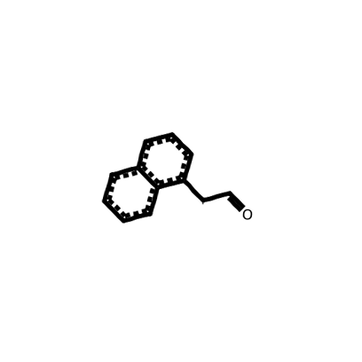 O=C[CH]c1cccc2ccccc12